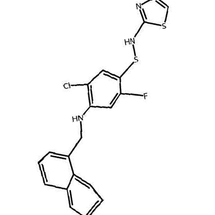 Fc1cc(NCc2cccc3ccccc23)c(Cl)cc1SNc1nccs1